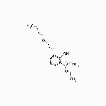 CCO/C(=I\N)c1cccc(OCCOCCOC)c1O